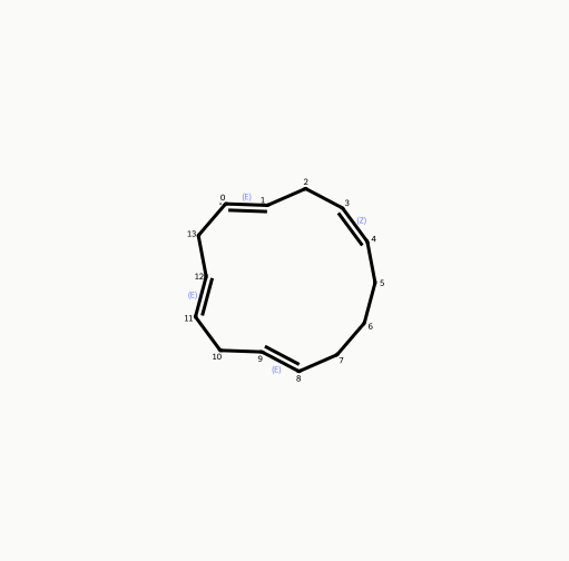 [C]1=C/C/C=C\CCC/C=C/C/C=C/C/1